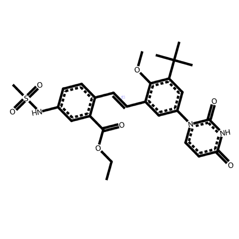 CCOC(=O)c1cc(NS(C)(=O)=O)ccc1/C=C/c1cc(-n2ccc(=O)[nH]c2=O)cc(C(C)(C)C)c1OC